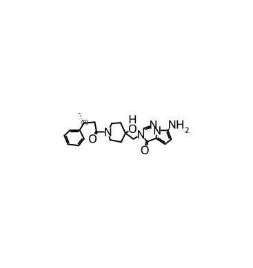 C[C@H](CC(=O)N1CCC(O)(Cn2cnn3c(N)ccc3c2=O)CC1)c1ccccc1